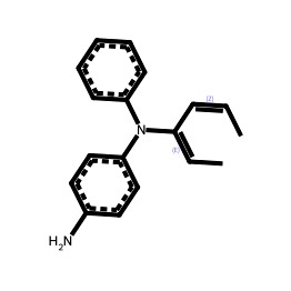 C/C=C\C(=C/C)N(c1ccccc1)c1ccc(N)cc1